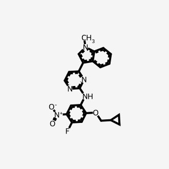 Cn1cc(-c2ccnc(Nc3cc([N+](=O)[O-])c(F)cc3OCC3CC3)n2)c2ccccc21